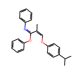 CC(=COc1ccc(C(C)C)cc1)C(=Nc1ccccc1)Oc1ccccc1